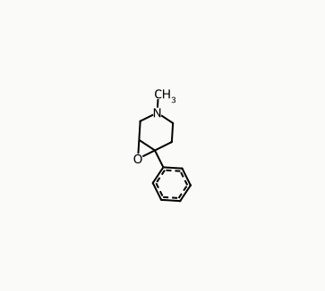 CN1CCC2(c3ccccc3)OC2C1